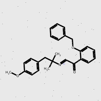 COc1ccc(CC(C)(C)/N=C/C(=O)c2ccccc2OCc2ccccc2)cc1